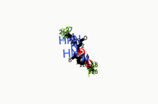 Cc1cc(C(=O)NC(C)c2ccc(OCC(F)(F)F)nc2)nc(NCC(F)(F)F)n1